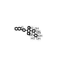 Oc1c(O)c(O)c(-c2c(O)c(O)c(O)c(-c3c4ccccc4c(-c4ccc5c(c4)oc4cc6ccccc6cc45)c4ccccc34)c2O)c(O)c1O